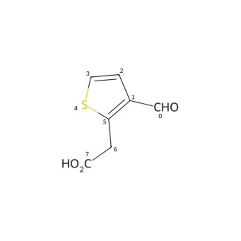 O=Cc1ccsc1CC(=O)O